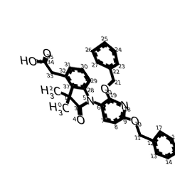 CC1(C)C(=O)N(c2ccc(OCc3ccccc3)nc2OCc2ccccc2)c2cccc(CC(=O)O)c21